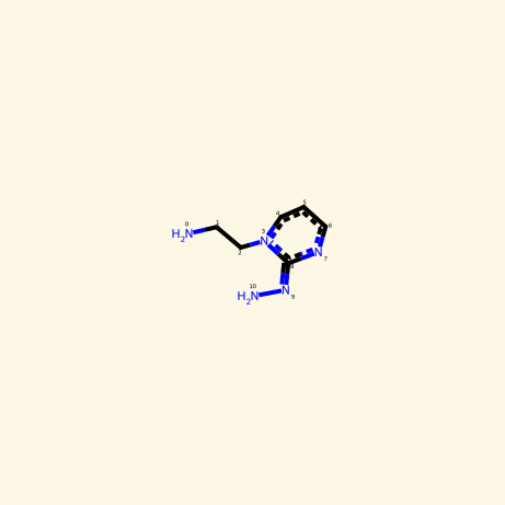 NCCn1cccnc1=NN